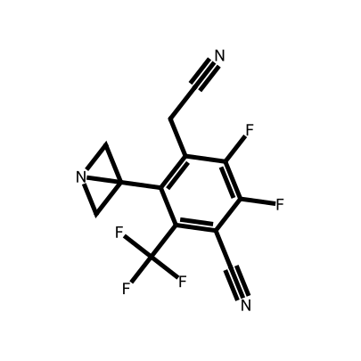 N#CCc1c(F)c(F)c(C#N)c(C(F)(F)F)c1C12CN1C2